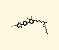 CCCCCOC(C)CCCC=Cc1ccc(-c2ccc(-c3ncc(O)cn3)cc2)c(F)c1F